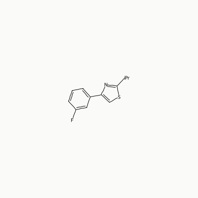 CC(C)c1nc(-c2cccc(F)c2)cs1